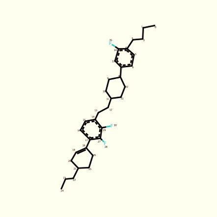 CCCCc1ccc(C2CCC(CCc3ccc(C4=CCC(CCC)CC4)c(F)c3F)CC2)cc1F